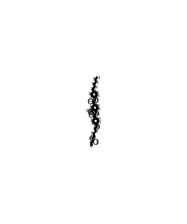 C=CC(=O)OCCCCOc1ccc(C(=O)Oc2ccc(C(=O)Oc3ccc(CCCCCC)cc3)cc2OC)cc1